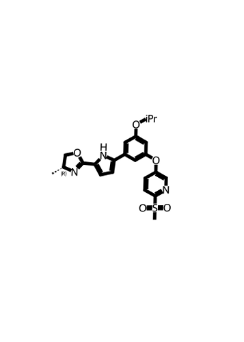 CC(C)Oc1cc(Oc2ccc(S(C)(=O)=O)nc2)cc(-c2ccc(C3=N[C@H](C)CO3)[nH]2)c1